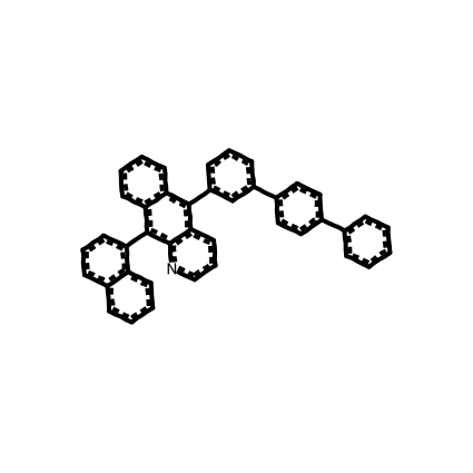 c1ccc(-c2ccc(-c3cccc(-c4c5ccccc5c(-c5cccc6ccccc56)c5ncccc45)c3)cc2)cc1